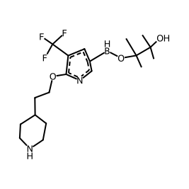 CC(C)(O)C(C)(C)OBc1cnc(OCCC2CCNCC2)c(C(F)(F)F)c1